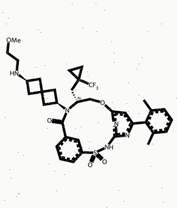 COCCN[C@H]1CC2(C1)C[C@H](N1C(=O)c3cccc(c3)S(=O)(=O)Nc3nc(cc(-c4c(C)cccc4C)n3)OC[C@H]1CC1(C(F)(F)F)CC1)C2